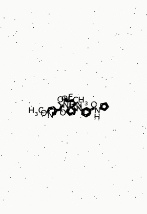 COc1ccc([C@@H](Oc2ccc3c(cnn3-c3cccc(C(=O)NC4CCCC4)c3)c2)[C@@H](CO)NC(=O)C(C)(F)F)cn1